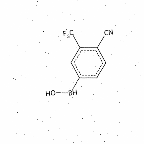 N#Cc1ccc(BO)cc1C(F)(F)F